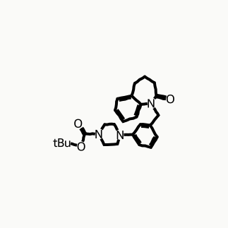 CC(C)(C)OC(=O)N1CCN(c2cccc(CN3C(=O)CCCc4ccccc43)c2)CC1